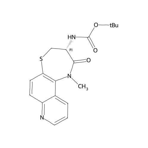 CN1C(=O)[C@@H](NC(=O)OC(C)(C)C)CSc2ccc3ncccc3c21